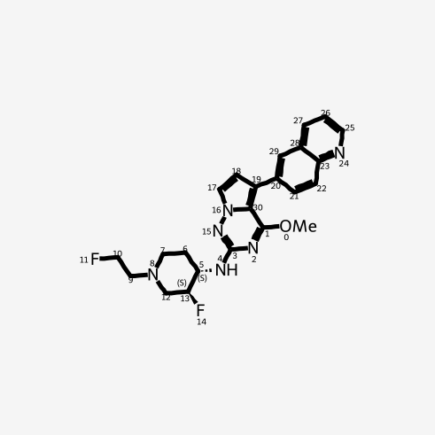 COc1nc(N[C@H]2CCN(CCF)C[C@@H]2F)nn2ccc(-c3ccc4ncccc4c3)c12